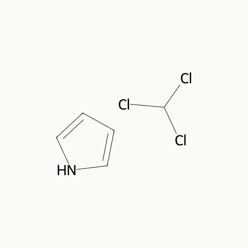 ClC(Cl)Cl.c1cc[nH]c1